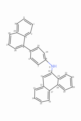 c1ccc2c(-c3ccc(Nc4cc5ccccc5c5ccccc45)cc3)cccc2c1